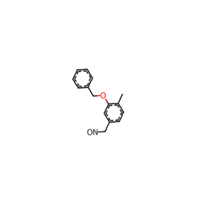 Cc1ccc(CN=O)cc1OCc1ccccc1